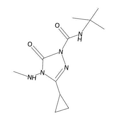 CNn1c(C2CC2)nn(C(=O)NC(C)(C)C)c1=O